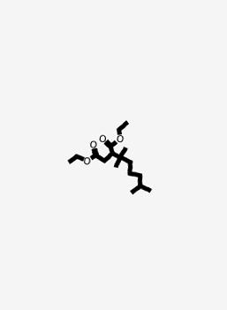 CCOC(=O)CC(C(=O)OCC)C(C)(C)CCCC(C)C